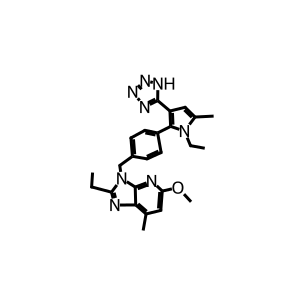 CCc1nc2c(C)cc(OC)nc2n1Cc1ccc(-c2c(-c3nnn[nH]3)cc(C)n2CC)cc1